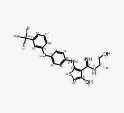 C[C@@H](CO)NC(=N)c1c(O)nsc1Nc1ccc(Oc2cccc(C(F)(F)F)c2)cc1